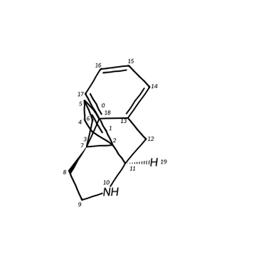 C1=CC23CCC1C[C@@]21CCN[C@@H]3Cc2ccccc21